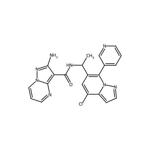 CC(NC(=O)c1c(N)nn2cccnc12)c1cc(Cl)c2ccnn2c1-c1cccnc1